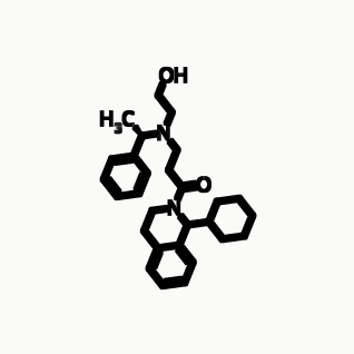 C[C@H](c1ccccc1)N(CCO)CCC(=O)N1CCc2ccccc2C1C1CCCCC1